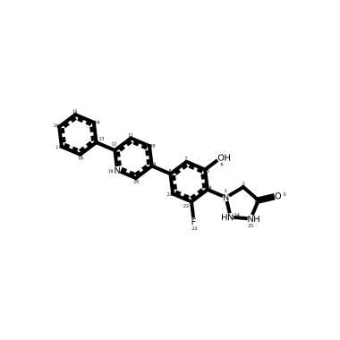 O=C1CN(c2c(O)cc(-c3ccc(-c4ccccc4)nc3)cc2F)NN1